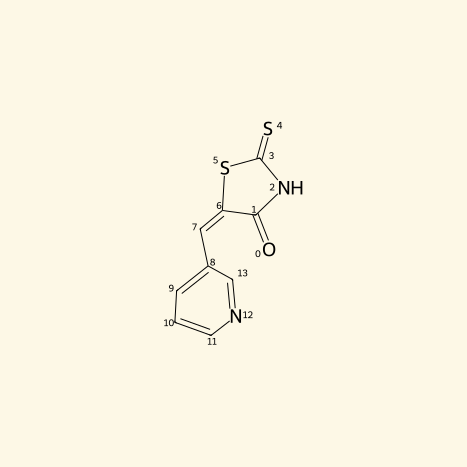 O=C1NC(=S)SC1=Cc1cccnc1